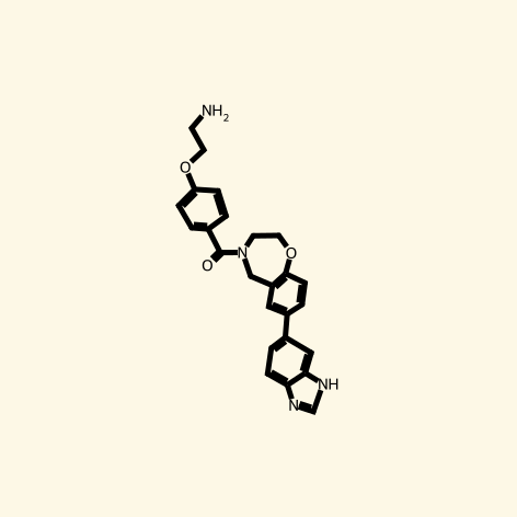 NCCOc1ccc(C(=O)N2CCOc3ccc(-c4ccc5nc[nH]c5c4)cc3C2)cc1